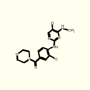 CNc1nc(Nc2ccc(C(=O)N3CCOCC3)cc2Cl)ncc1Cl